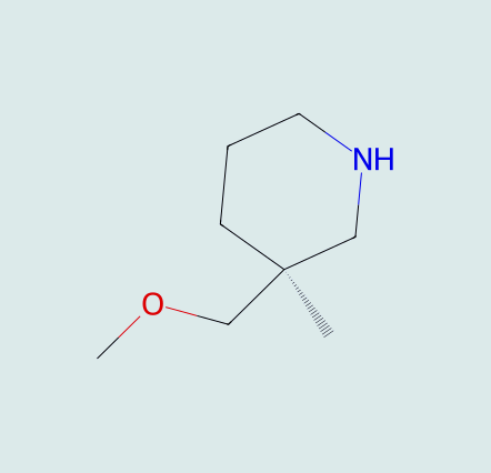 COC[C@@]1(C)CCCNC1